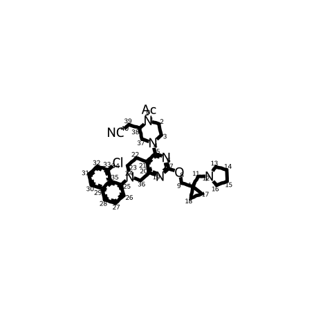 CC(=O)N1CCN(c2nc(OCC3(CN4CCCC4)CC3)nc3c2CCN(c2cccc4cccc(Cl)c24)C3)CC1CC#N